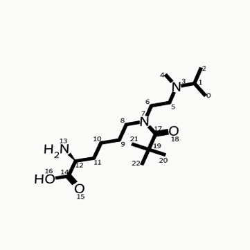 CC(C)N(C)CCN(CCCC[C@H](N)C(=O)O)C(=O)C(C)(C)C